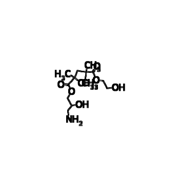 CC(C)(CC(C)(C)C(=O)OCC(O)CN)C(=O)OCCO